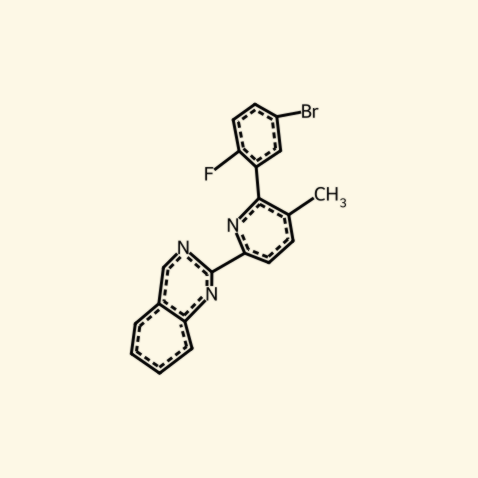 Cc1ccc(-c2ncc3ccccc3n2)nc1-c1cc(Br)ccc1F